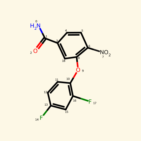 NC(=O)c1ccc([N+](=O)[O-])c(Oc2ccc(F)cc2F)c1